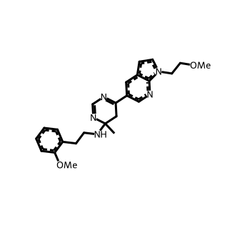 COCCn1ccc2cc(C3=NC=NC(C)(NCCc4ccccc4OC)C3)cnc21